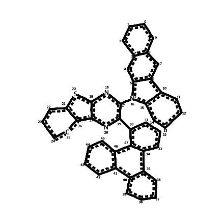 c1ccc2cc3c(cc2c1)c1ccccc1n3-c1nc2sc3ccccc3c2nc1-c1cccc2c3ccccc3c3ccccc3c12